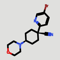 N#C[C@]1(c2ccc(Br)cn2)CC[C@H](N2CCOCC2)CC1